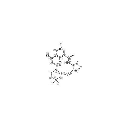 Cc1cc([C@@H](C)Nc2ccoc2C(=O)O)c2oc(N3CCC(C)(C)CC3)cc(=O)c2c1